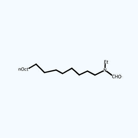 CCCCCCCCCCCCCCCCN([C]=O)CC